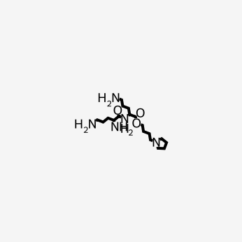 NCCCC(N)C(=O)NC(CCCN)C(=O)OCCCCN1CCCC1